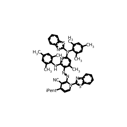 CCCC(C)C1=C=CN(c2nc3ccccc3s2)C(N=Nc2c(C)cc(N(c3nc4ccccc4s3)c3c(C)cc(C)cc3C)nc2Nc2c(C)cc(C)cc2C)=C1C#N